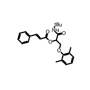 Cc1cccc(C)c1OCC(OC(=O)/C=C/c1ccccc1)C(=O)NC(C)(C)C